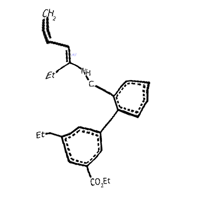 C=C/C=C(\CC)NCc1ccccc1-c1cc(CC)cc(C(=O)OCC)c1